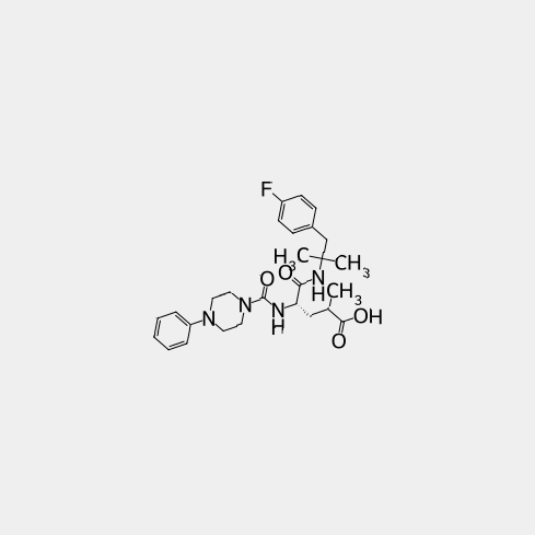 CC(C[C@H](NC(=O)N1CCN(c2ccccc2)CC1)C(=O)NC(C)(C)Cc1ccc(F)cc1)C(=O)O